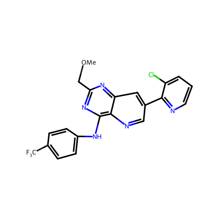 COCc1nc(Nc2ccc(C(F)(F)F)cc2)c2ncc(-c3ncccc3Cl)cc2n1